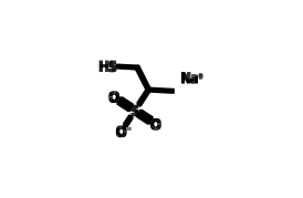 CC(CS)S(=O)(=O)[O-].[Na+]